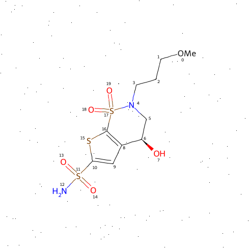 COCCCN1C[C@@H](O)c2cc(S(N)(=O)=O)sc2S1(=O)=O